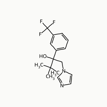 CC(C)(C)C(O)(Cn1ccnc1)c1cccc(C(F)(F)F)c1